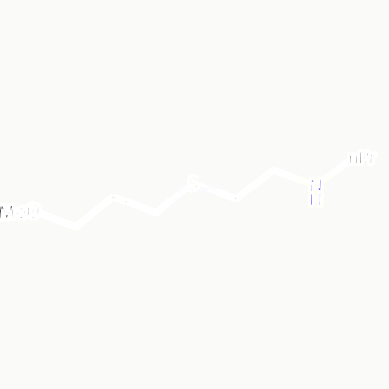 CCCNCCSCCCOC